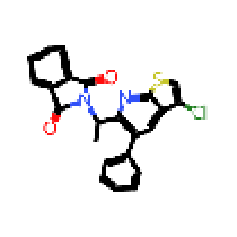 CC(c1nc2scc(Cl)c2cc1-c1ccccc1)N1C(=O)c2ccccc2C1=O